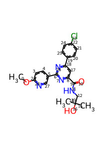 COc1ccc(-c2nc(C(=O)NCC(C)(C)O)cc(-c3ccc(Cl)cc3)n2)cn1